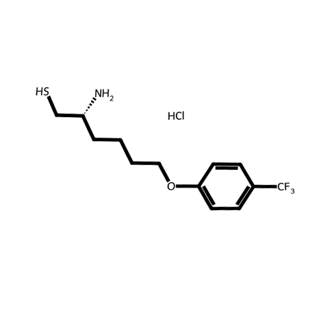 Cl.N[C@@H](CS)CCCCOc1ccc(C(F)(F)F)cc1